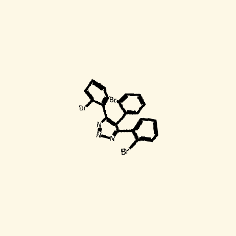 Brc1ccccc1-c1nnnc(-c2ccccc2Br)c1-c1ccccc1Br